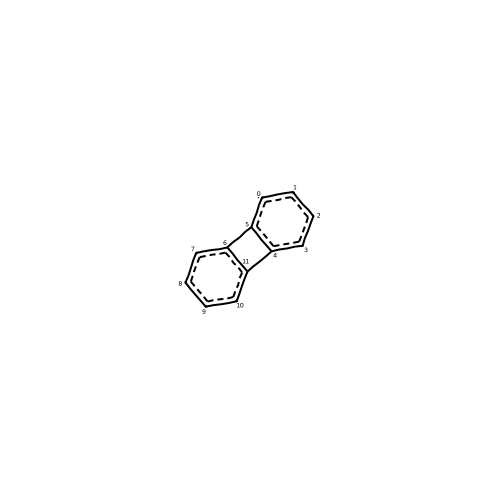 [c]1cccc2c1-c1ccccc1-2